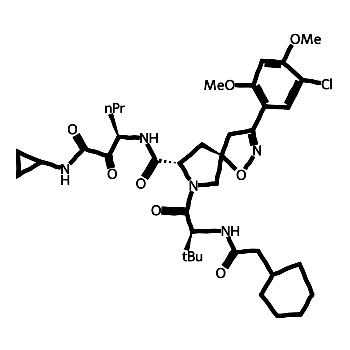 CCC[C@@H](NC(=O)[C@@H]1C[C@]2(CC(c3cc(Cl)c(OC)cc3OC)=NO2)CN1C(=O)[C@@H](NC(=O)CC1CCCCC1)C(C)(C)C)C(=O)C(=O)NC1CC1